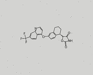 O=C1NC(=O)C([C@@H]2CCCc3cc(Oc4ccnc5cc(C(F)(F)F)ccc45)ccc32)O1